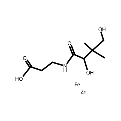 CC(C)(CO)C(O)C(=O)NCCC(=O)O.[Fe].[Zn]